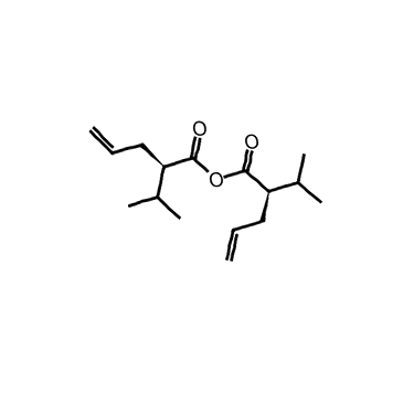 C=CC[C@@H](C(=O)OC(=O)[C@H](CC=C)C(C)C)C(C)C